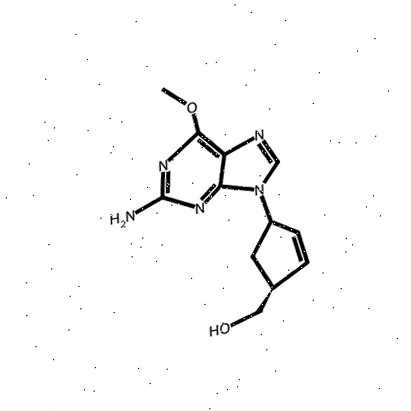 COc1nc(N)nc2c1ncn2C1C=C[C@@H](CO)C1